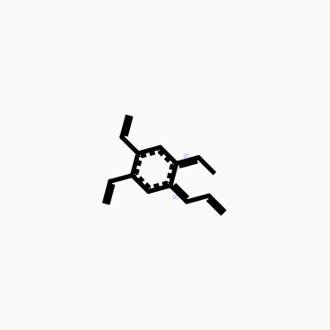 C=C/C=c1/cc(C=C)c(C=C)c/c1=C/C